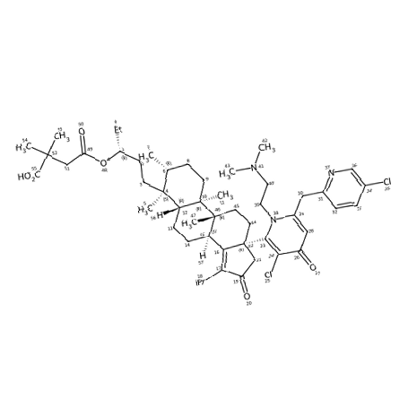 CC[C@H](CC[C@@]1(C)[C@H](C)CC[C@]2(C)[C@@H]1CC[C@@H]1C3=C(C(C)C)C(=O)C[C@]3(c3c(Cl)c(=O)cc(Cc4ccc(Cl)cn4)n3CCN(C)C)CC[C@]12C)OC(=O)CC(C)(C)C(=O)O